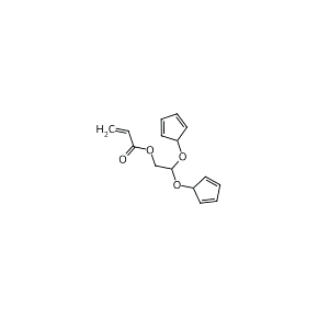 C=CC(=O)OCC(OC1C=CC=C1)OC1C=CC=C1